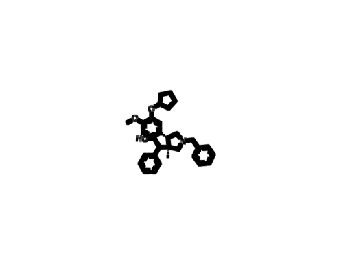 COc1ccc([C@@H]2CN(Cc3ccccc3)C[C@@]2(C)C(CO)c2ccccc2)cc1OC1CCCC1